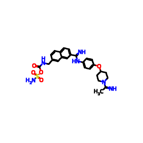 CC(=N)N1CCC(Oc2ccc(NC(=N)c3ccc4ccc(CNC(=O)OS(N)(=O)=O)cc4c3)cc2)CC1